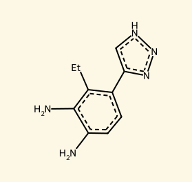 CCc1c(-c2c[nH]nn2)ccc(N)c1N